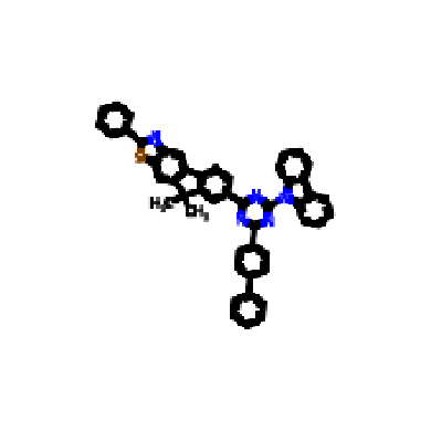 CC1(C)c2cc(-c3nc(-c4ccc(-c5ccccc5)cc4)nc(-n4c5ccccc5c5ccccc54)n3)ccc2-c2cc3nc(-c4ccccc4)sc3cc21